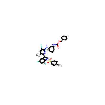 Cc1ccc(S(=O)(=O)n2cc(-c3nc(N[C@H]4CCC[C@@H](NC(=O)OCc5ccccc5)C4)c(F)cc3C)c3cc(F)cc(F)c32)cc1